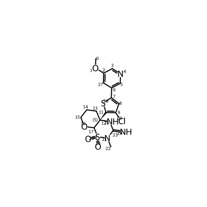 COc1cncc(-c2cc(Cl)c([C@]34CCCOC3S(=O)(=O)N(C)C(=N)N4)s2)c1